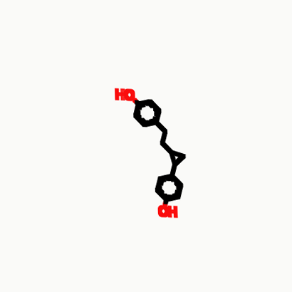 Oc1ccc(CCC2CC2c2ccc(O)cc2)cc1